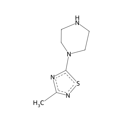 Cc1nsc(N2CCNCC2)n1